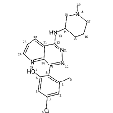 Cc1cc(Cl)cc(O)c1-c1nnc(NC2CCCN(C)C2)c2cccnc12